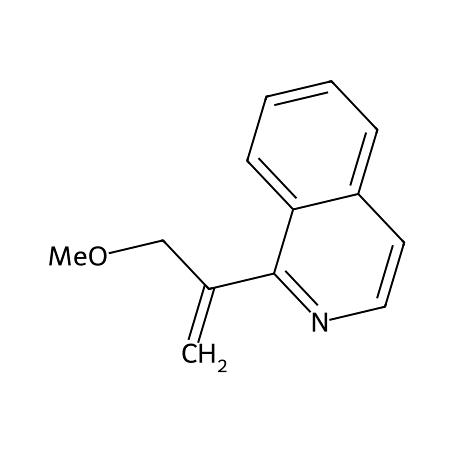 C=C(COC)c1nccc2ccccc12